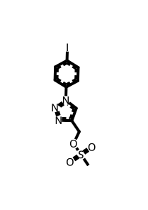 CS(=O)(=O)OCc1cn(-c2ccc(I)cc2)nn1